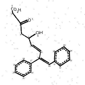 O=C(O)CC(=O)CC(O)/C=C/C(=C\c1ccccc1)c1ccccc1